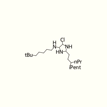 CCCC(C)C(CCC)CCC1NC(Cl)C(NCCCCCC(C)(C)C)N1